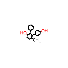 Cc1ccc(O)c(-c2ccccc2)c1-c1ccc(O)cc1